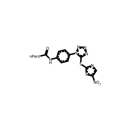 CCCCCC(=O)Nc1ccc(-n2nnnc2Sc2ncc([N+](=O)[O-])s2)cc1